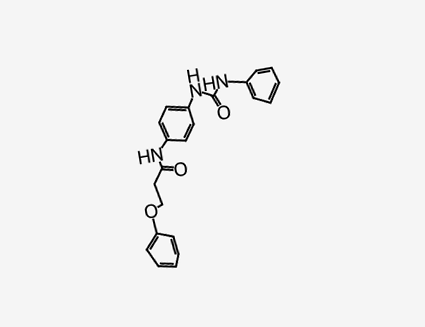 O=C(CCOc1ccccc1)Nc1ccc(NC(=O)Nc2ccccc2)cc1